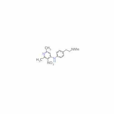 CNCCc1ccc(Nc2cc(C)nc(C)c2[N+](=O)[O-])cc1